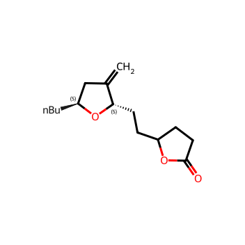 C=C1C[C@H](CCCC)O[C@H]1CCC1CCC(=O)O1